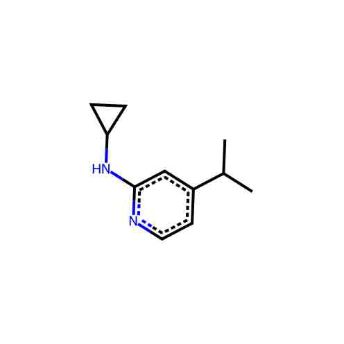 CC(C)c1ccnc(NC2CC2)c1